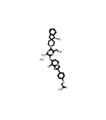 Cc1nc(N2CCC3(CC2)Cc2ccccc2[C@H]3N)c(CO)nc1Sc1ccn2cc(-c3ccc(OCC(=O)O)cc3)nc2c1Cl.Cl